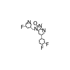 Cn1c(=O)n(Cc2cncc(F)c2)c2cc(-c3ccc(F)c(F)c3)cnc21